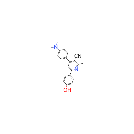 Cc1nc(-c2ccc(O)cc2)cc(-c2ccc(N(C)C)cc2)c1C#N